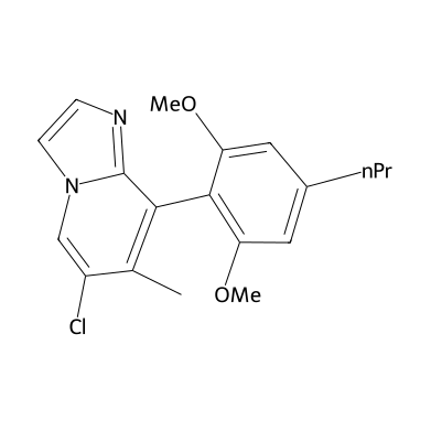 CCCc1cc(OC)c(-c2c(C)c(Cl)cn3ccnc23)c(OC)c1